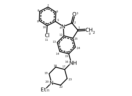 C=C1C(=O)N(c2ccccc2Cl)c2ccc(NC3CCN(CC)CC3)cc21